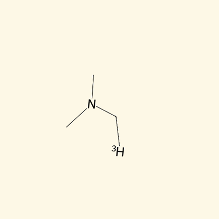 [3H]CN(C)C